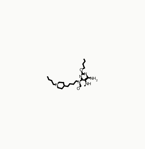 CCCCOc1nc(N)c(NC)c(N(C=O)CCCCC2CCN(CCCC)CC2)n1